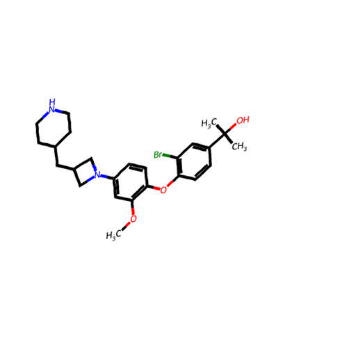 COc1cc(N2CC(CC3CCNCC3)C2)ccc1Oc1ccc(C(C)(C)O)cc1Br